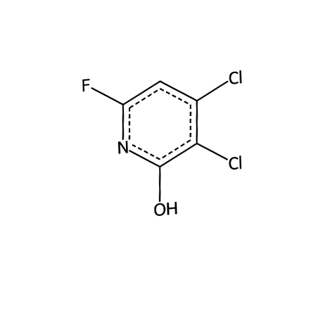 Oc1nc(F)cc(Cl)c1Cl